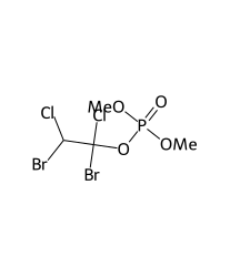 COP(=O)(OC)OC(Cl)(Br)C(Cl)Br